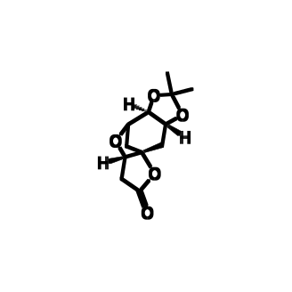 CC1(C)O[C@@H]2C3C[C@]4(C[C@H]2O1)OC(=O)C[C@@H]4O3